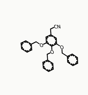 N#CCc1cc(OCc2ccccc2)c(OCc2ccccc2)c(OCc2ccccc2)c1